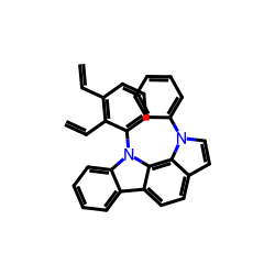 C=Cc1cccc(-n2c3ccccc3c3ccc4ccn(-c5ccccc5)c4c32)c1C=C